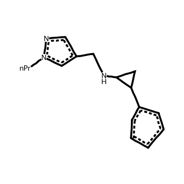 [CH2]CCn1cc(CNC2CC2c2ccccc2)cn1